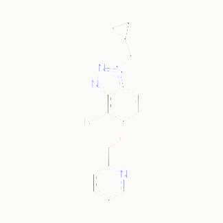 Brc1c(OCc2ccccn2)ccc2c1nnn2CC1CC1